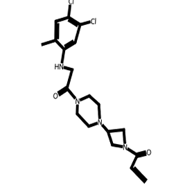 C=CC(=O)N1CC(N2CCN(C(=O)CNc3cc(Cl)c(Cl)cc3C)CC2)C1